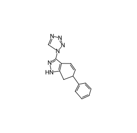 C1=CC(c2ccccc2)Cc2[nH]nc(-n3cnnn3)c21